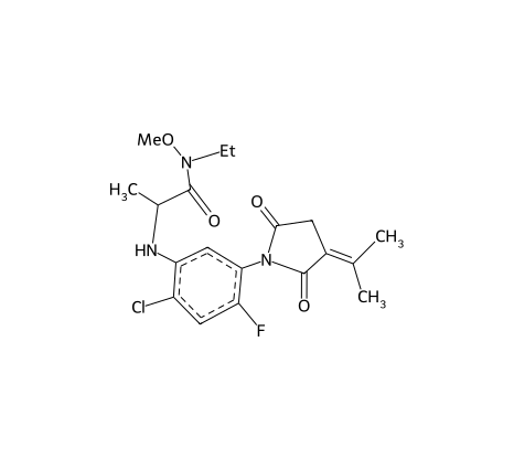 CCN(OC)C(=O)C(C)Nc1cc(N2C(=O)CC(=C(C)C)C2=O)c(F)cc1Cl